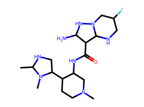 CC1NCC(C2CCN(C)CC2NC(=O)C2C(N)NN3CC(F)CNC23)N1C